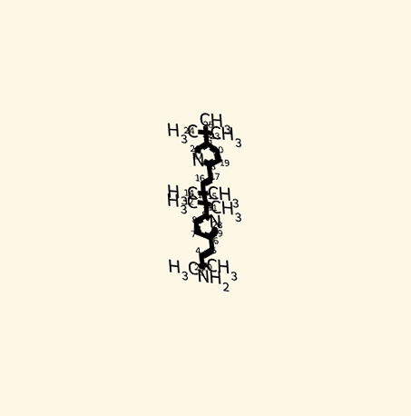 CC(C)(N)/C=C/c1ccc(C(C)(C)C(C)(C)/C=C/c2ccc(C(C)(C)C)cn2)nc1